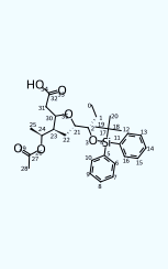 CC[C@H](O[Si](c1ccccc1)(c1ccccc1)C(C)(C)C)[C@@H]1C[C@@H]([C@H](C)OC(C)=O)C(CC(=O)O)O1